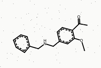 COc1cc(CNCc2ccccc2)ccc1C(C)=O